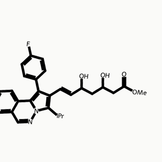 COC(=O)CC(O)CC(O)/C=C/c1c(-c2ccc(F)cc2)c2c3ccccc3cnn2c1C(C)C